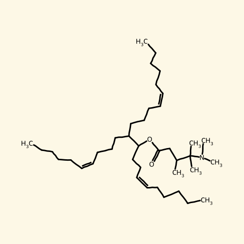 CCCCC/C=C\CCCC(CCC/C=C\CCCCC)C(CC/C=C\CCCCC)OC(=O)CC(C)C(C)(C)N(C)C